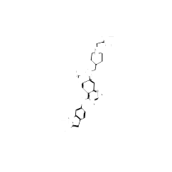 COc1cc2c(Oc3ccc4cc(C)[nH]c4c3)ncnc2cc1OCC1CCN(CC(C)=O)CC1